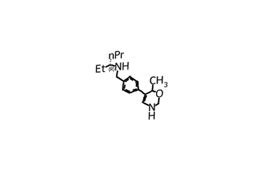 CCC[C@@H](CC)NCc1ccc(C2=CNCOC2C)cc1